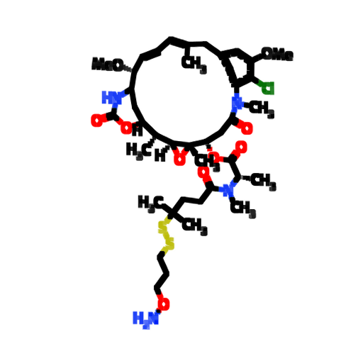 COc1cc2cc(c1Cl)N(C)C(=O)C[C@H](OC(=O)[C@H](C)N(C)C(=O)CCC(C)(C)SSCCCON)[C@]1(C)O[C@H]1[C@H](C)[C@@H]1CC(NC(=O)O1)[C@H](OC)/C=C/C=C(\C)C2